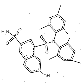 Cc1cc(C)c(N(c2c(C)cc(C)cc2C)S(=O)(=O)c2cc(S(N)(=O)=O)cc3ccc(O)cc23)c(C)c1